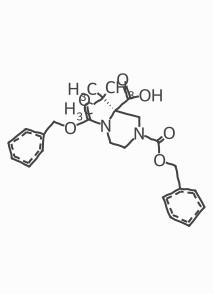 CC(C)(C)[C@]1(C(=O)O)CN(C(=O)OCc2ccccc2)CCN1C(=O)OCc1ccccc1